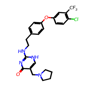 O=c1nc(NCCc2ccc(Oc3ccc(Cl)c(C(F)(F)F)c3)cc2)[nH]cc1CN1CCCC1